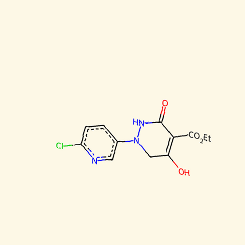 CCOC(=O)C1=C(O)CN(c2ccc(Cl)nc2)NC1=O